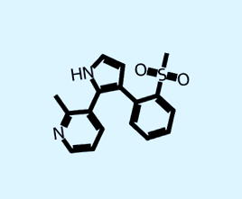 Cc1ncccc1-c1[nH]ccc1-c1ccccc1S(C)(=O)=O